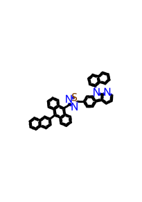 c1ccc2cc(-c3c4ccccc4c(-c4nsc(-c5ccc6c7cccnc7n(-c7cccc8ccccc78)c6c5)n4)c4ccccc34)ccc2c1